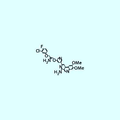 COc1cc2ncc3c(N)nc(-c4cncc(OC[C@@H](N)COc5ccc(F)c(Cl)c5)c4)cc3c2cc1OC